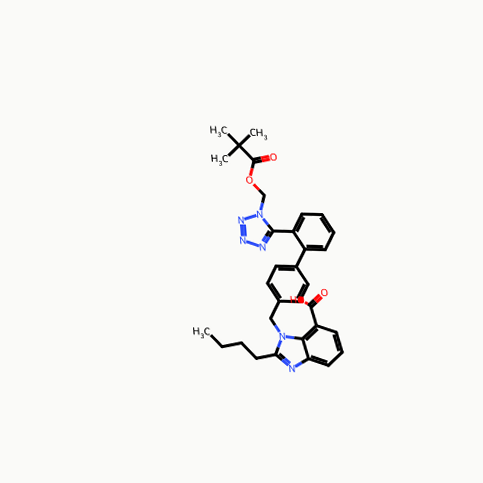 CCCCc1nc2cccc(C(=O)O)c2n1Cc1ccc(-c2ccccc2-c2nnnn2COC(=O)C(C)(C)C)cc1